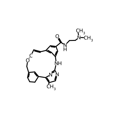 Cc1cnc2nc1C1=CC(=CCC1)COC/C=C/c1cc(cc(C(=O)NCCN(C)C)c1)N2